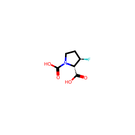 O=C(O)[C@H]1[C@H](F)CCN1C(=O)O